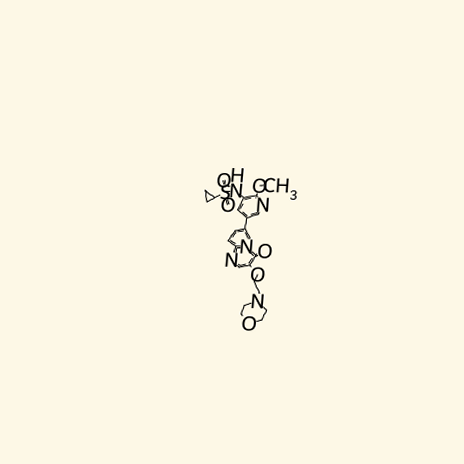 COc1ncc(-c2ccc3ncc(OCCN4CCOCC4)c(=O)n3c2)cc1NS(=O)(=O)C1CC1